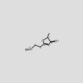 COCCC1=CC(=O)C(C)S1